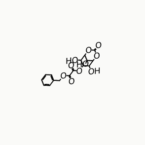 O=C1OC2C(O)C(O1)C(O)C(OC(=O)C(=O)OCc1ccccc1)C2O